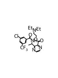 CCN(CC)CCOC(=O)c1nccnc1C(C)NC(=O)c1cc(Cl)cc(C(F)(F)F)c1